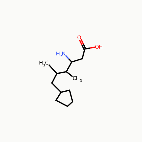 CC(CC1CCCC1)C(C)C(N)CC(=O)O